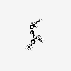 CCCCON1C(=O)N2C[C@@H]1CC[C@H]2c1cc(CCN(C(=O)OC(C)(C)C)C2CCN(C(=O)OC(C)(C)C)CC2)on1